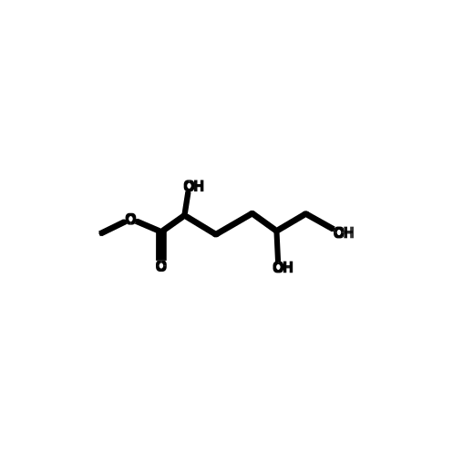 COC(=O)C(O)CCC(O)CO